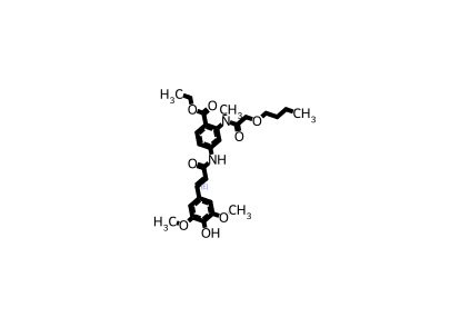 CCCCOCC(=O)N(C)c1cc(NC(=O)/C=C/c2cc(OC)c(O)c(OC)c2)ccc1C(=O)OCC